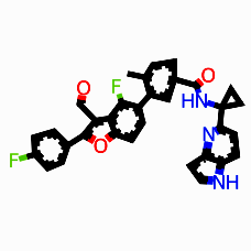 Cc1ccc(C(=O)NC2(c3ccc4[nH]ccc4n3)CC2)cc1-c1ccc2oc(-c3ccc(F)cc3)c(C=O)c2c1F